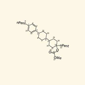 CCCCCc1ccc(C2CCC(C3CCC(CCCCC)(OC(=O)OC)CC3)CC2)cc1